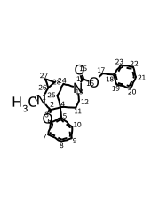 CN(C(=O)C1(c2ccccc2)CCN(C(=O)OCc2ccccc2)CC1)C1CC1